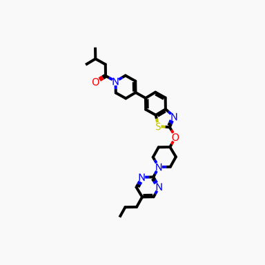 CCCc1cnc(N2CCC(Oc3nc4ccc(C5=CCN(C(=O)CC(C)C)CC5)cc4s3)CC2)nc1